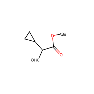 CC(C)(C)OC(=O)C(C=O)C1CC1